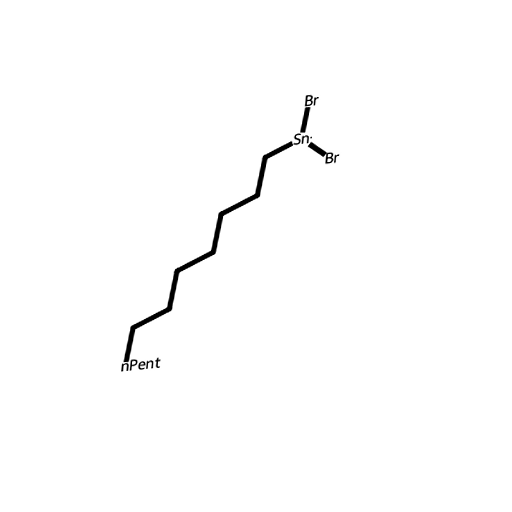 CCCCCCCCCCC[CH2][Sn]([Br])[Br]